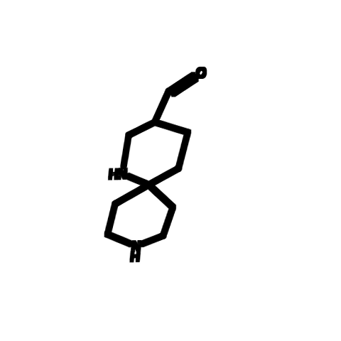 O=CC1CCC2(CCNCC2)NC1